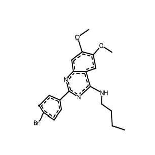 CCCCNc1nc(-c2ccc(Br)cc2)nc2cc(OC)c(OC)cc12